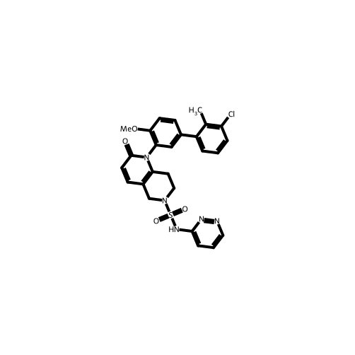 COc1ccc(-c2cccc(Cl)c2C)cc1-n1c2c(ccc1=O)CN(S(=O)(=O)Nc1cccnn1)CC2